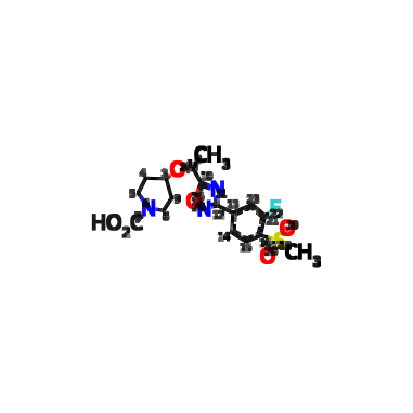 C[C@H](OC1CCN(C(=O)O)CC1)c1nc(-c2ccc(S(C)(=O)=O)c(F)c2)no1